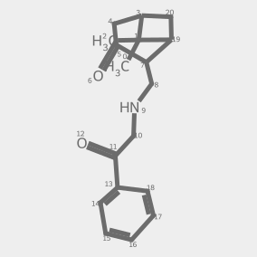 CC1(C)C2CC(=O)C(CNCC(=O)c3ccccc3)C1C2